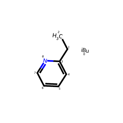 CC[C@H](C)C(C)c1ccccn1